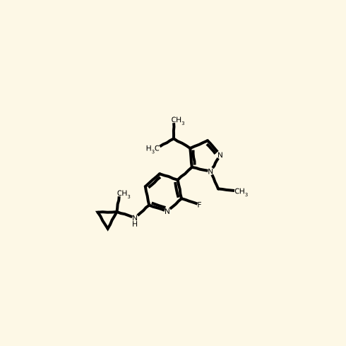 CCn1ncc(C(C)C)c1-c1ccc(NC2(C)CC2)nc1F